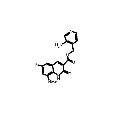 CNc1cc(F)cc2cc(C(=O)OCc3ccncc3N)c(=O)[nH]c12